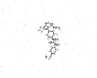 Nc1ncnc2c3c(n(-c4ccc(NC(=O)Nc5ccc(C(F)(F)F)cc5)cc4)c12)CCC3